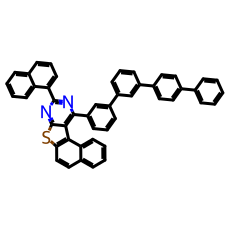 c1ccc(-c2ccc(-c3cccc(-c4cccc(-c5nc(-c6cccc7ccccc67)nc6sc7ccc8ccccc8c7c56)c4)c3)cc2)cc1